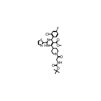 COC(=O)C1=C(C2CCN(C(=O)CNC(=O)OC(C)(C)C)CC2)NC(c2nccs2)=NC1c1ccc(F)cc1Cl